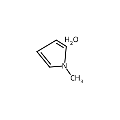 Cn1cccc1.O